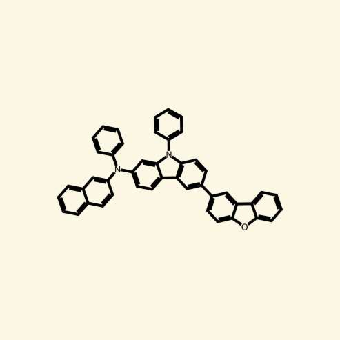 c1ccc(N(c2ccc3ccccc3c2)c2ccc3c4cc(-c5ccc6oc7ccccc7c6c5)ccc4n(-c4ccccc4)c3c2)cc1